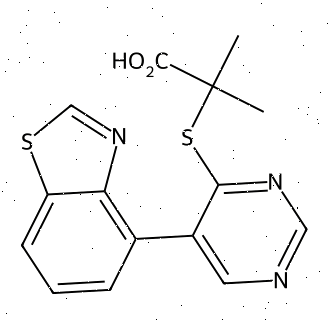 CC(C)(Sc1ncncc1-c1cccc2scnc12)C(=O)O